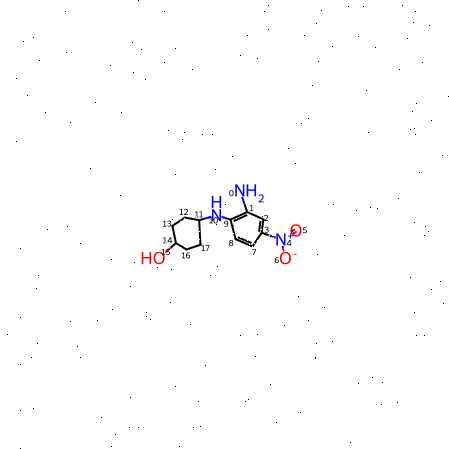 Nc1cc([N+](=O)[O-])ccc1NC1CCC(O)CC1